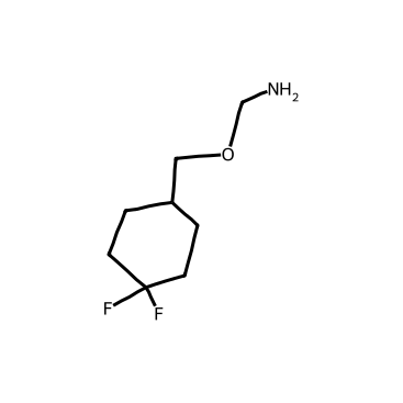 NCOCC1CCC(F)(F)CC1